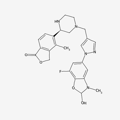 Cc1c([C@@H]2CN(Cc3cnn(-c4cc(F)c5c(c4)N(C)C(O)O5)c3)CCN2)ccc2c1COC2=O